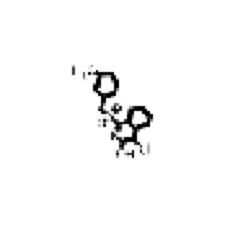 Cc1cccc(CS(=O)(=O)c2nc(O)c(Cl)c3ccccc23)c1